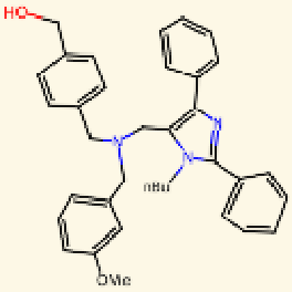 CCCCn1c(-c2ccccc2)nc(-c2ccccc2)c1CN(Cc1ccc(CO)cc1)Cc1cccc(OC)c1